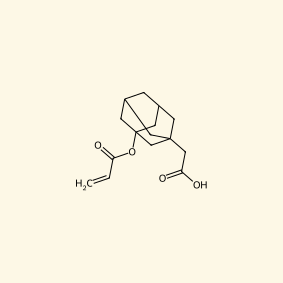 C=CC(=O)OC12CC3CC(CC(CC(=O)O)(C3)C1)C2